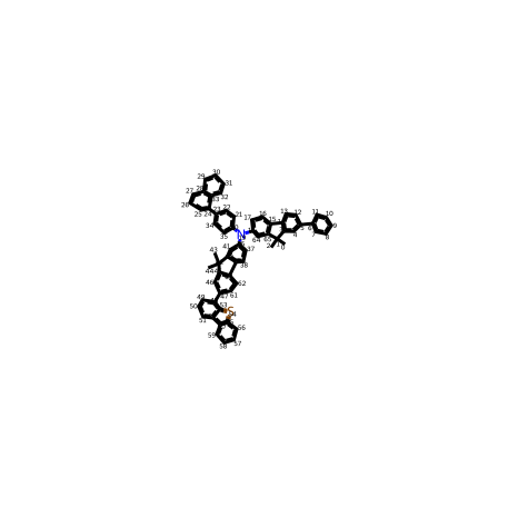 CC1(C)c2cc(-c3ccccc3)ccc2-c2ccc(N(c3ccc(-c4cccc5ccccc45)cc3)c3ccc4c(c3)C(C)(C)c3cc(-c5cccc6c5sc5ccccc56)ccc3-4)cc21